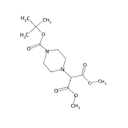 COC(=O)C(C(=O)OC)N1CCN(C(=O)OC(C)(C)C)CC1